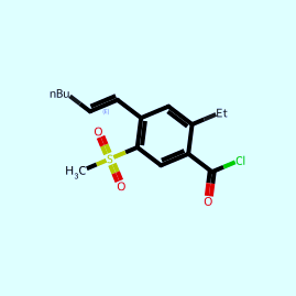 CCCC/C=C/c1cc(CC)c(C(=O)Cl)cc1S(C)(=O)=O